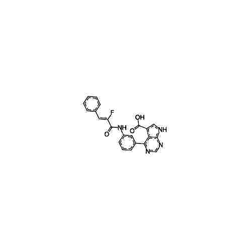 O=C(Nc1cccc(-c2ncnc3[nH]cc(C(=O)O)c23)c1)/C(F)=C/c1ccccc1